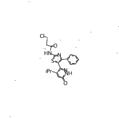 CC(C)c1cc(=O)[nH]nc1-c1sc(NC(=O)CCCl)nc1-c1ccccc1